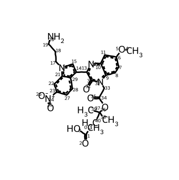 CC(=O)O.COc1ccc2c(c1)nc(-c1cn(CCCN)c3cc([N+](=O)[O-])ccc13)c(=O)n2CC(=O)OC(C)(C)C